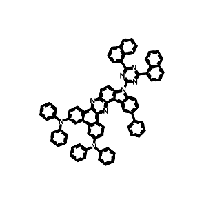 c1ccc(-c2ccc3c(c2)c2c4nc5c6ccc(N(c7ccccc7)c7ccccc7)cc6c6cc(N(c7ccccc7)c7ccccc7)ccc6c5nc4ccc2n3-c2nc(-c3cccc4ccccc34)nc(-c3cccc4ccccc34)n2)cc1